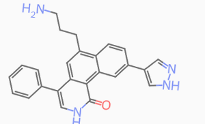 NCCCc1cc2c(-c3ccccc3)c[nH]c(=O)c2c2cc(-c3cn[nH]c3)ccc12